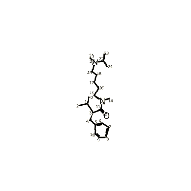 CC(C)[C@H](Cc1ccccc1)C(=O)N(C)CCCCCN(C)C(C)C